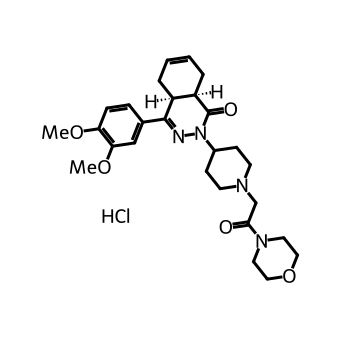 COc1ccc(C2=NN(C3CCN(CC(=O)N4CCOCC4)CC3)C(=O)[C@@H]3CC=CC[C@H]23)cc1OC.Cl